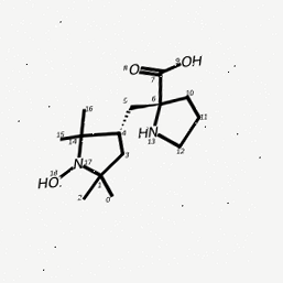 CC1(C)C[C@@H](C[C@@]2(C(=O)O)CCCN2)C(C)(C)N1O